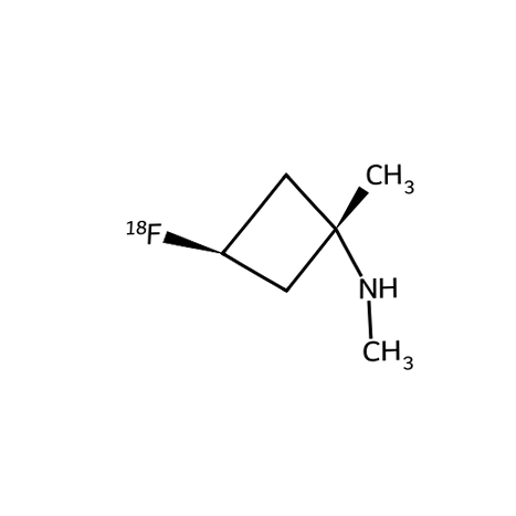 CN[C@]1(C)C[C@@H]([18F])C1